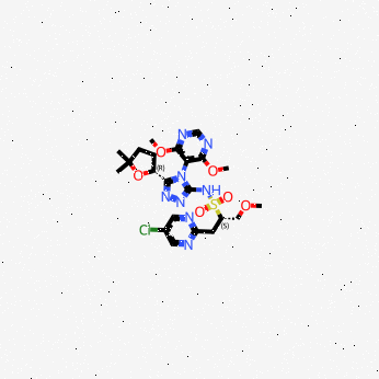 COC[C@H](Cc1ncc(Cl)cn1)S(=O)(=O)Nc1nnc([C@H]2CCC(C)(C)O2)n1-c1c(OC)ncnc1OC